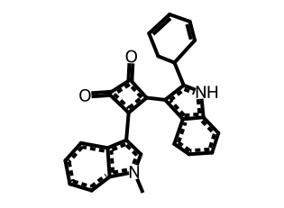 Cn1cc(-c2c(-c3c(C4C=CC=CC4)[nH]c4ccccc34)c(=O)c2=O)c2ccccc21